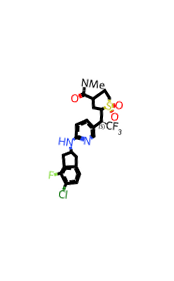 CNC(=O)C1CCS(=O)(=O)C([C@@H](c2ccc(NC3Cc4ccc(Cl)c(F)c4C3)nc2)C(F)(F)F)C1